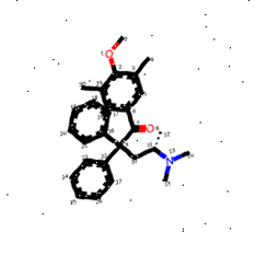 COc1c(C)cc(C(=O)C(C[C@H](C)N(C)C)(c2ccccc2)c2ccccc2)cc1C